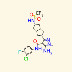 Cn1nc(C2CC3CC(NS(=O)(=O)C(F)(F)F)CC3C2)c(C(=O)Nc2ccc(F)c(Cl)c2)c1N